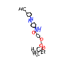 C#Cc1ccc(/N=N/c2ccc(NC(=O)c3ccc(OCCOC(=O)C(C)(C)CC)cc3)cc2)cc1